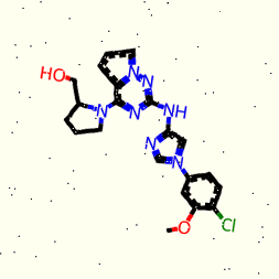 COc1cc(-n2cnc(Nc3nc(N4CCCC4CO)c4cccn4n3)c2)ccc1Cl